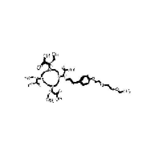 CCOCCOCCOc1ccc(CCC[C@@H](C(=O)O)N2CCN([C@H](CO)C(=O)O)CCN([C@@H](CO)C(=O)O)CCN([C@@H](CO)C(=O)O)CC2)cc1